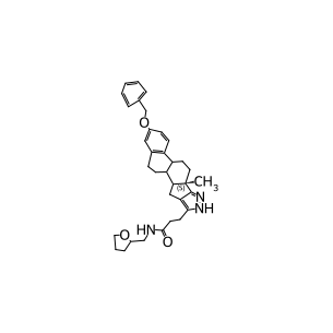 C[C@]12CCC3c4ccc(OCc5ccccc5)cc4CCC3C1Cc1c2n[nH]c1CCC(=O)NCC1CCCO1